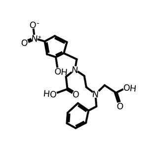 O=C(O)CN(CCN(CC(=O)O)Cc1ccc([N+](=O)[O-])cc1O)Cc1ccccc1